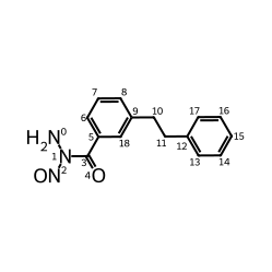 NN(N=O)C(=O)c1cccc(CCc2ccccc2)c1